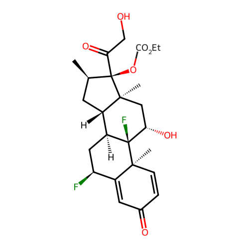 CCOC(=O)O[C@]1(C(=O)CO)[C@H](C)C[C@H]2[C@@H]3C[C@H](F)C4=CC(=O)C=C[C@]4(C)[C@@]3(F)[C@@H](O)C[C@@]21C